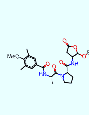 CCOC1OC(=O)C[C@@H]1NC(=O)[C@@H]1CCCN1C(=O)[C@H](C)NC(=O)c1cc(C)c(OC)c(C)c1